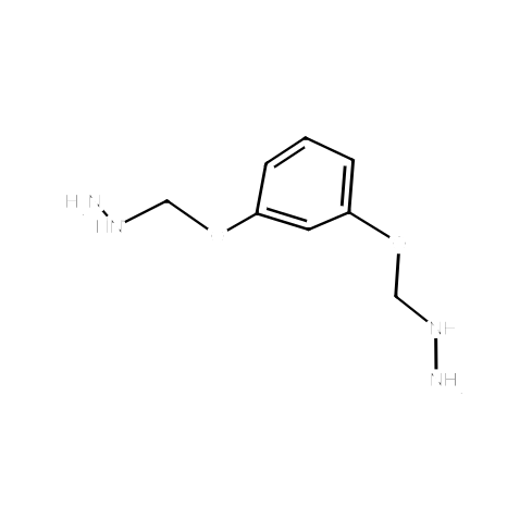 NNCOc1cccc(OCNN)c1